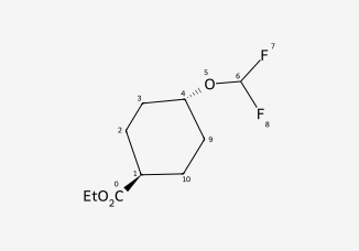 CCOC(=O)[C@H]1CC[C@H](OC(F)F)CC1